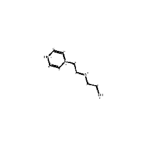 OCCOCCN1C=CNC=C1